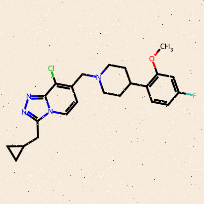 COc1cc(F)ccc1C1CCN(Cc2ccn3c(CC4CC4)nnc3c2Cl)CC1